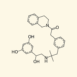 CC(C)(Cc1cccc(CC(=O)N2CCc3ccccc3C2)c1)NCC(O)c1cc(O)cc(O)c1